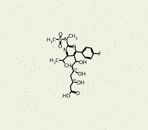 CC(C)c1nc(N(C)S(C)(=O)=O)nc(-c2ccc(F)cc2)c1C(O)C[C@@H](O)C[C@@H](O)CC(=O)O